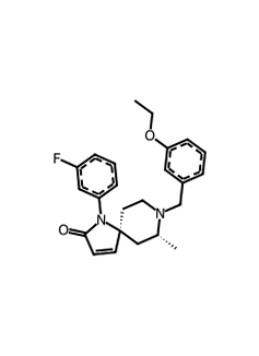 CCOc1cccc(CN2CC[C@@]3(C=CC(=O)N3c3cccc(F)c3)C[C@H]2C)c1